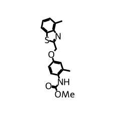 COC(=O)Nc1ccc(OCc2nc3c(C)cccc3s2)cc1C